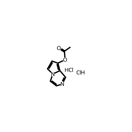 CC(=O)Oc1ccn2ccncc12.Cl.Cl